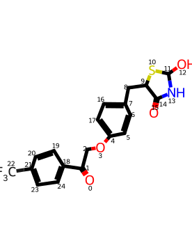 O=C(COc1ccc(CC2SC(O)NC2=O)cc1)c1ccc(C(F)(F)F)cc1